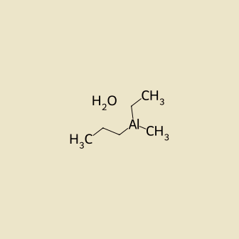 CC[CH2][Al]([CH3])[CH2]C.O